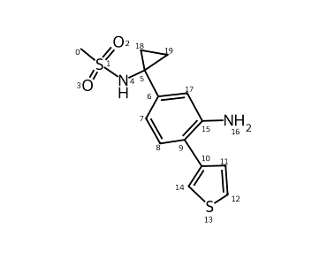 CS(=O)(=O)NC1(c2ccc(-c3ccsc3)c(N)c2)CC1